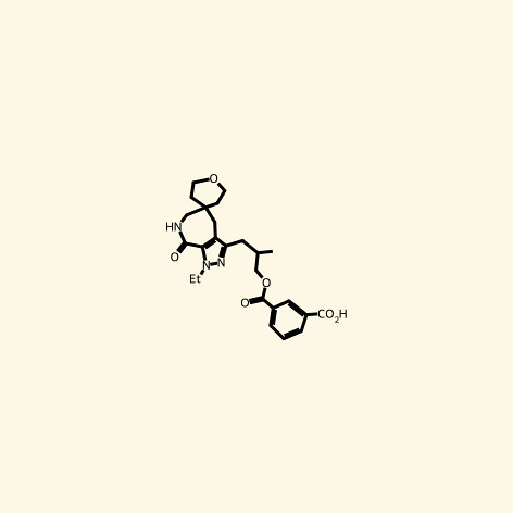 CCn1nc(CC(C)COC(=O)c2cccc(C(=O)O)c2)c2c1C(=O)NCC1(CCOCC1)C2